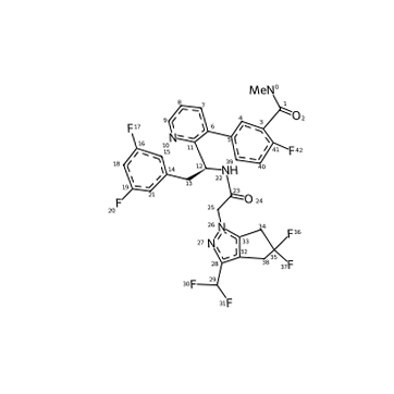 CNC(=O)c1cc(-c2cccnc2[C@H](Cc2cc(F)cc(F)c2)NC(=O)Cn2nc(C(F)F)c3c2CC(F)(F)C3)ccc1F